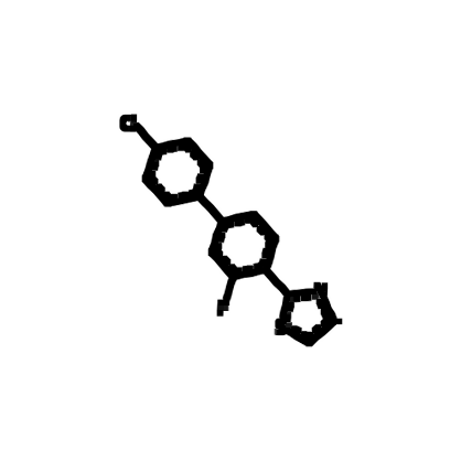 Fc1cc(-c2ccc(Cl)cc2)ccc1-c1n[c]cs1